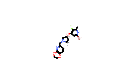 Cc1nc(Br)cc(O[C@@H]2C[C@H](C)N(Cc3ccc4c(n3)OCCO4)C2)c1F